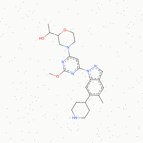 COc1nc(N2CCOC(C(C)O)C2)cc(-n2ncc3cc(C)c(C4CCNCC4)cc32)n1